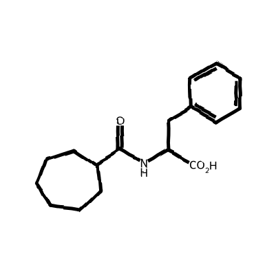 O=C(NC(Cc1ccccc1)C(=O)O)C1CCCCCC1